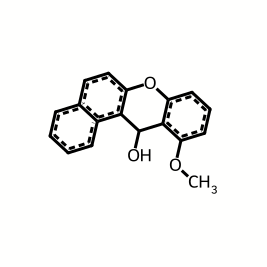 COc1cccc2c1C(O)c1c(ccc3ccccc13)O2